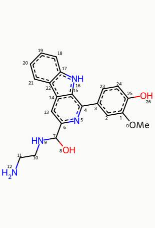 COc1cc(-c2nc(C(O)NCCN)cc3c2[nH]c2ccccc23)ccc1O